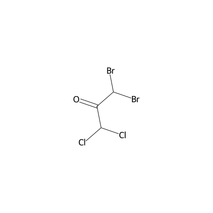 O=C(C(Cl)Cl)C(Br)Br